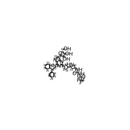 O=C(NOC(=O)C(F)(F)F)N[C@H]1CNC(C2CCN(c3nc(NCC(c4ccccc4)c4ccccc4)c4ncn(C5O[C@H](CO)[C@@H](O)C5O)c4n3)C2)C1